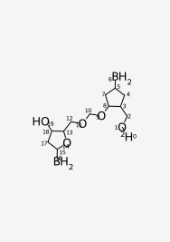 [2H]OCC1CC(B)CC1OCOCC1OC(B)CC1O